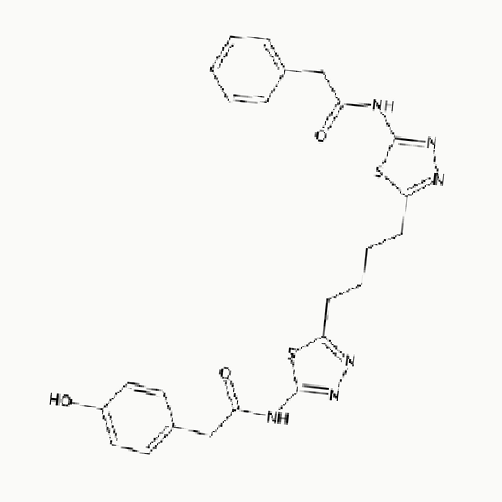 O=C(Cc1ccccc1)Nc1nnc(CCCCc2nnc(NC(=O)Cc3ccc(O)cc3)s2)s1